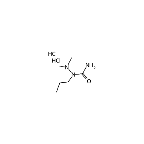 CCCN(C(N)=O)N(C)C.Cl.Cl